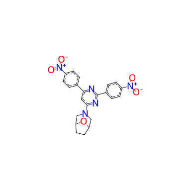 O=[N+]([O-])c1ccc(-c2cc(N3CC4CCC(C3)O4)nc(-c3ccc([N+](=O)[O-])cc3)n2)cc1